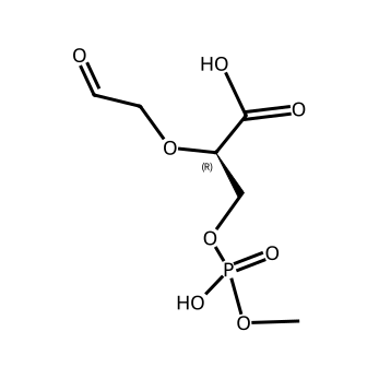 COP(=O)(O)OC[C@@H](OCC=O)C(=O)O